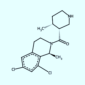 C[C@@H]1CCNC[C@@H]1C(=O)N1CCc2cc(Cl)cc(Cl)c2[C@@H]1C